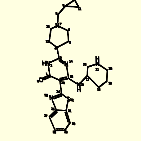 O=c1[nH]c(C2CCN(CC3CC3)CC2)nc(NC2CCCNC2)c1-c1nc2ccccc2s1